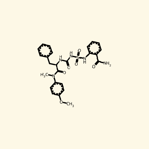 COc1ccc(N(C)C(=O)C(Cc2ccccc2)NC(=O)NS(=O)(=O)Nc2ccccc2C(N)=O)cc1